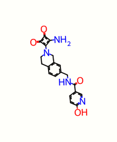 Nc1c(N2CCc3ccc(CNC(=O)c4ccc(O)nc4)cc3C2)c(=O)c1=O